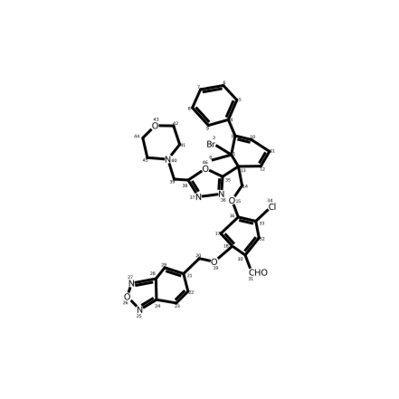 CC1(Br)C(c2ccccc2)=CC=CC1(COc1cc(OCc2ccc3nonc3c2)c(C=O)cc1Cl)c1nnc(CN2CCOCC2)o1